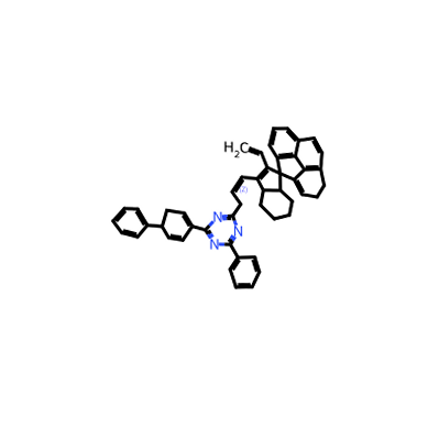 C=CC1=C(/C=C\Cc2nc(C3=CCC(c4ccccc4)C=C3)nc(-c3ccccc3)n2)C2CCCCC2C12C1=CCCc3ccc4cccc2c4c31